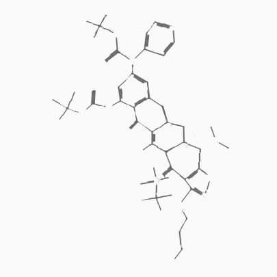 CCCCOc1noc2c1C(=O)[C@@]1(O[Si](C)(C)C(C)(C)C)C(O)=C3C(=O)c4c(cc(N(C(=O)OC(C)(C)C)c5ccncc5)cc4OC(=O)OC(C)(C)C)C[C@H]3C[C@H]1[C@@H]2N(C)C